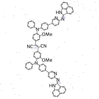 COc1cc(/C(C#N)=C(\C#N)c2ccc(N(c3ccccc3)c3ccc(-c4ccc(/N=C5\Nc6cccc7cccc5c67)nc4)cc3)c(OC)c2)ccc1N(c1ccccc1)c1ccc(-c2ccc(/N=C3\Nc4cccc5cccc3c45)nc2)cc1